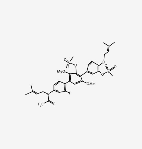 COc1cc(-c2ccc(N(CC=C(C)C)C(=O)C(F)(F)F)cc2F)c(OC)c(OS(C)(=O)=O)c1-c1ccc(OCC=C(C)C)c(OS(C)(=O)=O)c1